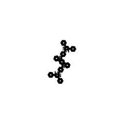 c1ccc(-c2cc(-c3ccccc3)nc(-c3ccc(-n4c5ccccc5c5cc6c(cc54)c4ccccc4n6-c4ccc(-c5nc(-c6ccccc6)cc(-c6ccccc6)n5)cc4)cc3)n2)cc1